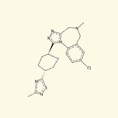 Cc1nsc([C@H]2CC[C@H](c3nnc4n3-c3ccc(Cl)cc3CN(C)C4)CC2)n1